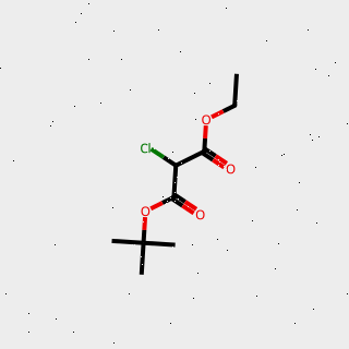 CCOC(=O)C(Cl)C(=O)OC(C)(C)C